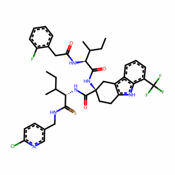 CCC(C)[C@H](NC(=O)Cc1ccccc1F)C(=O)N[C@]1(C(=O)N[C@H](C(=S)NCc2ccc(Cl)nc2)C(C)CC)CCc2[nH]c3c(C(F)(F)F)cccc3c2C1